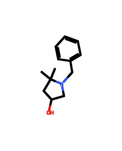 CC1(C)CC(O)CN1Cc1ccccc1